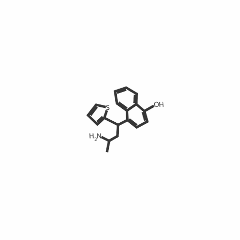 CC(N)CC(c1cccs1)c1ccc(O)c2ccccc12